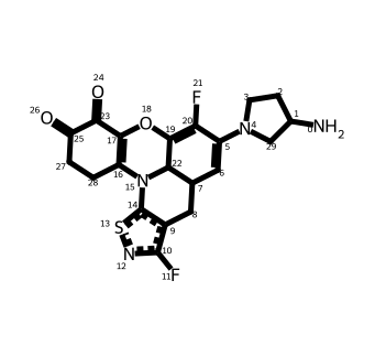 NC1CCN(C2=CC3Cc4c(F)nsc4N4C5=C(OC(=C2F)C34)C(=O)C(=O)CC5)C1